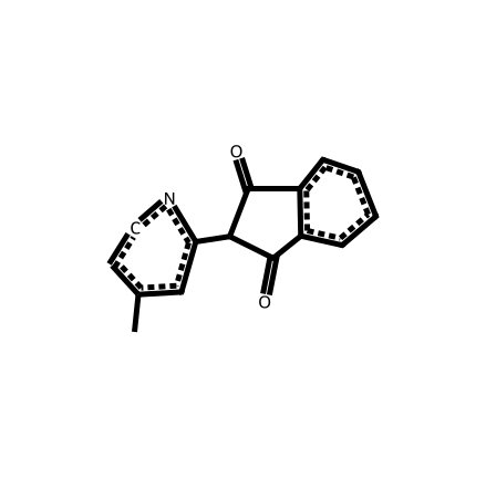 Cc1ccnc(C2C(=O)c3ccccc3C2=O)c1